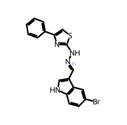 Brc1ccc2[nH]cc(/C=N/Nc3nc(-c4ccccc4)cs3)c2c1